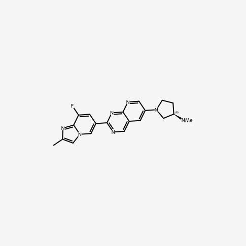 CN[C@@H]1CCN(c2cnc3nc(-c4cc(F)c5nc(C)cn5c4)ncc3c2)C1